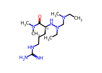 CCN(C)CN(CC)N[C@@H](CCCNC(=N)N)C(=O)N(C)C